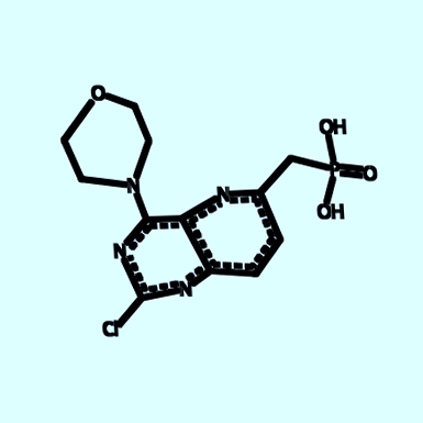 O=P(O)(O)Cc1ccc2nc(Cl)nc(N3CCOCC3)c2n1